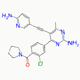 Cc1nc(N)nc(-c2ccc(C(=O)N3CCCC3)c(Cl)c2)c1C#Cc1ccc(N)nc1